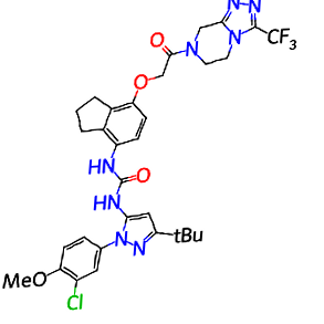 COc1ccc(-n2nc(C(C)(C)C)cc2NC(=O)Nc2ccc(OCC(=O)N3CCn4c(nnc4C(F)(F)F)C3)c3c2CCC3)cc1Cl